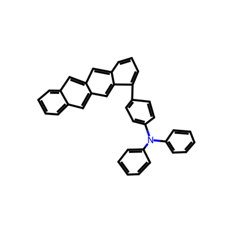 c1ccc(N(c2ccccc2)c2ccc(-c3cccc4cc5cc6ccccc6cc5cc34)cc2)cc1